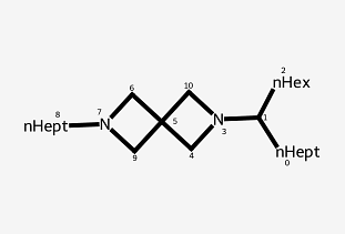 CCCCCCCC(CCCCCC)N1CC2(CN(CCCCCCC)C2)C1